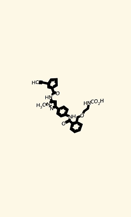 C#Cc1cccc(C(=O)Nc2cc(-c3ccc(NC(=O)c4ccccc4COCCNC(=O)O)cc3)nn2C)c1